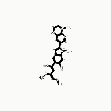 C=N/C=C(\C=C(/C)c1cc2cc(-c3cnc4c(c3)OCCN4C)n(C)c2cc1Cl)OC